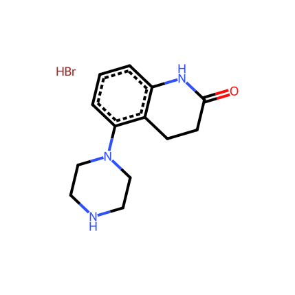 Br.O=C1CCc2c(cccc2N2CCNCC2)N1